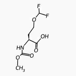 COC(=O)N[C@@H](CCOC(F)F)C(=O)O